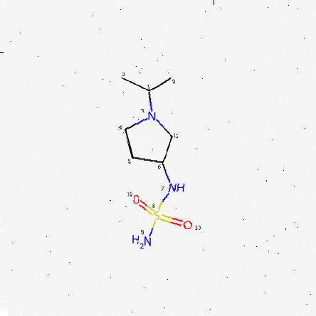 CC(C)N1CCC(NS(N)(=O)=O)C1